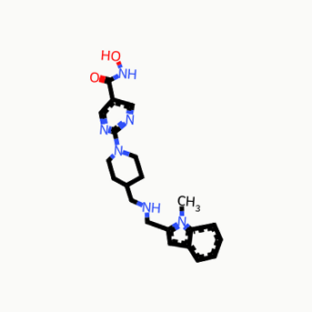 Cn1c(CNCC2CCN(c3ncc(C(=O)NO)cn3)CC2)cc2ccccc21